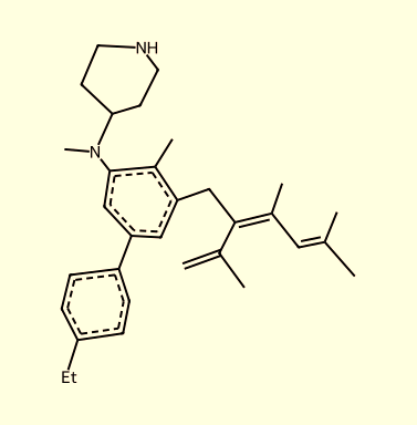 C=C(C)/C(Cc1cc(-c2ccc(CC)cc2)cc(N(C)C2CCNCC2)c1C)=C(/C)C=C(C)C